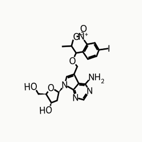 CC(C)C(OCc1cn([C@H]2C[C@@H](O)[C@@H](CO)O2)c2ncnc(N)c12)c1ccc(I)cc1[N+](=O)[O-]